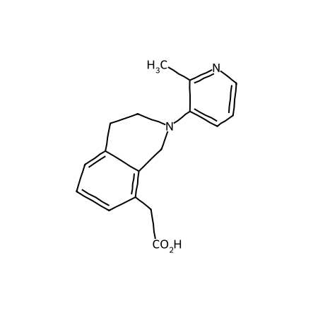 Cc1ncccc1N1CCc2cccc(CC(=O)O)c2C1